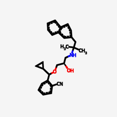 CC(C)(Cc1ccc2ccccc2c1)NC[C@@H](O)COC(c1ccccc1C#N)C1CC1